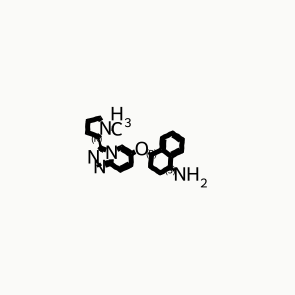 CN1CCC[C@@H]1c1nnc2ccc(O[C@@H]3CC[C@H](N)c4ccccc43)cn12